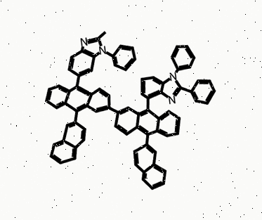 Cc1nc2ccc(-c3c4ccccc4c(-c4ccc5ccccc5c4)c4cc(-c5ccc6c(-c7ccc8ccccc8c7)c7ccccc7c(-c7cccc8c7nc(-c7ccccc7)n8-c7ccccc7)c6c5)ccc34)cc2n1-c1ccccc1